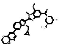 COc1cc(C(=O)N2C[C@H](N)C[C@@H](F)C2)cc2nc(-c3cc4ccc(-c5cnc6c(c5)OCCN6)cc4n3CC3CC3)n(C)c12